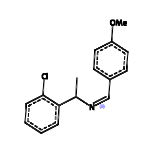 COc1ccc(/C=N\C(C)c2ccccc2Cl)cc1